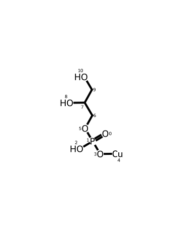 O=P(O)([O][Cu])OCC(O)CO